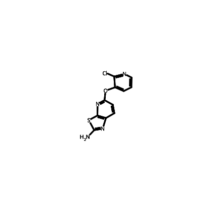 Nc1nc2ccc(Oc3cccnc3Cl)nc2s1